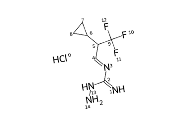 Cl.N=C(N=CC(C1CC1)C(F)(F)F)NN